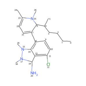 CCCCC(C)C1C(c2ccc(Cl)c3c2N(C)N(C)C3N)=CC=C(C)N1C